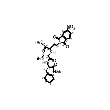 CNC(=O)[C@H](Cc1ccccc1)NC(=O)[C@H](CC(C)C)NC(CCN1C(=O)c2ccc([N+](=O)[O-])cc2C1=O)C(=O)OC(C)(C)C